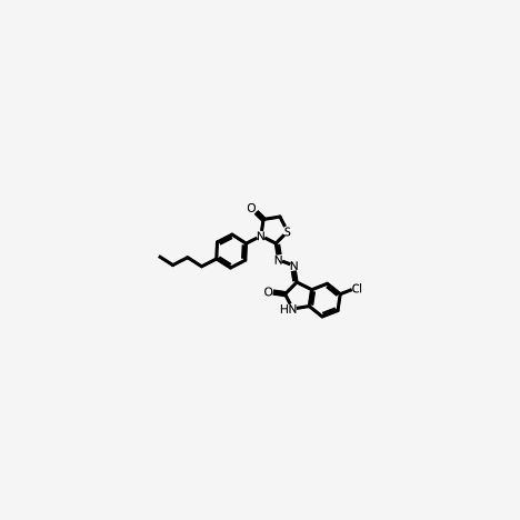 CCCCc1ccc(N2C(=O)CSC2=NN=C2C(=O)Nc3ccc(Cl)cc32)cc1